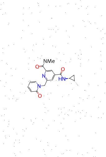 CNC(=O)c1cc(C(=O)N[C@H]2C[C@@H]2C)cc(Cn2ccccc2=O)n1